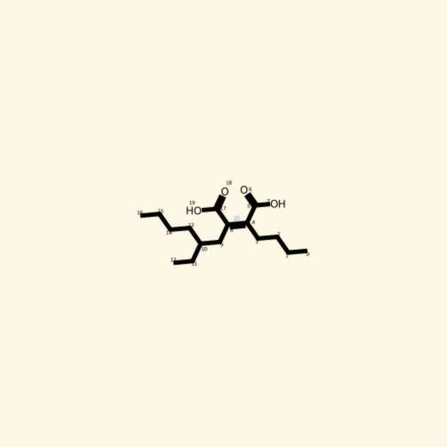 CCCC/C(C(=O)O)=C(\CC(CC)CCCC)C(=O)O